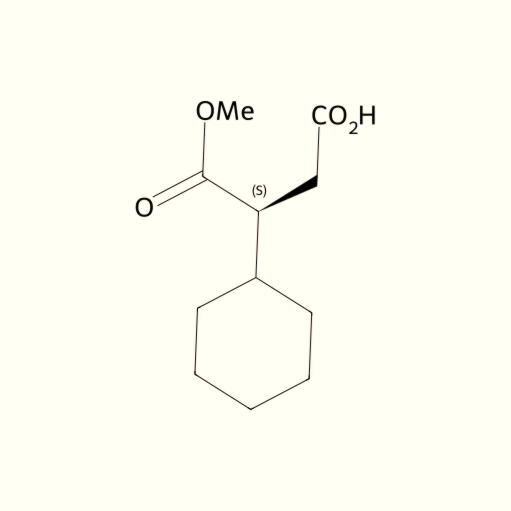 COC(=O)[C@@H](CC(=O)O)C1CCCCC1